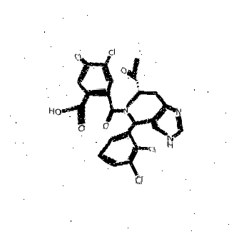 CC(=O)[C@@H]1Cc2nc[nH]c2C(c2cccc(Cl)c2Cl)N1C(=O)c1cc(Cl)c(Cl)cc1C(=O)O